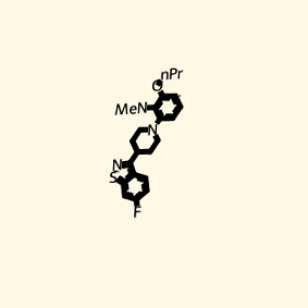 CCCOc1[c]ccc(N2CCC(c3nsc4cc(F)ccc34)CC2)c1NC